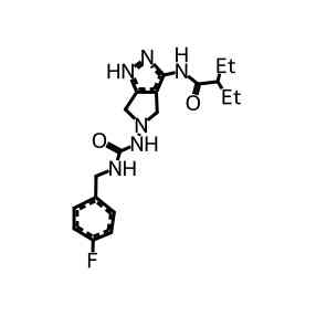 CCC(CC)C(=O)Nc1n[nH]c2c1CN(NC(=O)NCc1ccc(F)cc1)C2